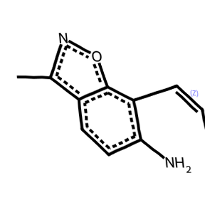 C/C=C\c1c(N)ccc2c(C)noc12